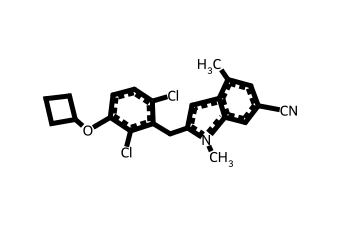 Cc1cc(C#N)cc2c1cc(Cc1c(Cl)ccc(OC3CCC3)c1Cl)n2C